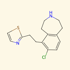 Clc1ccc2c(c1CCc1nccs1)CCNCC2